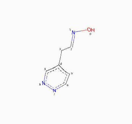 ON=CCc1ccnnc1